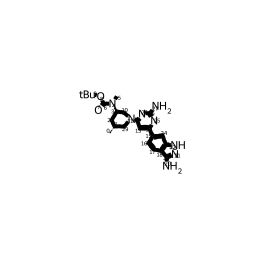 C[C@@H]1C[C@@H](N(C)C(=O)OC(C)(C)C)CN(c2cc(-c3ccc4c(N)n[nH]c4c3)nc(N)n2)C1